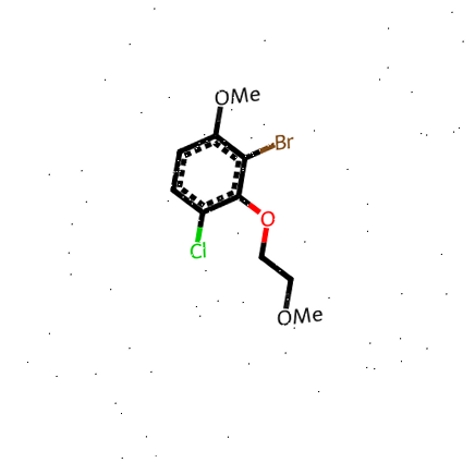 COCCOc1c(Cl)ccc(OC)c1Br